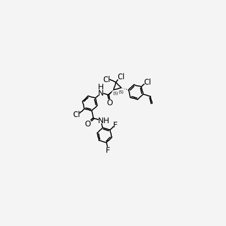 C=Cc1ccc([C@@H]2[C@@H](C(=O)Nc3ccc(Cl)c(C(=O)Nc4ccc(F)cc4F)c3)C2(Cl)Cl)cc1Cl